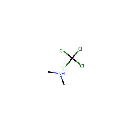 CNC.ClC(Cl)(Cl)Cl